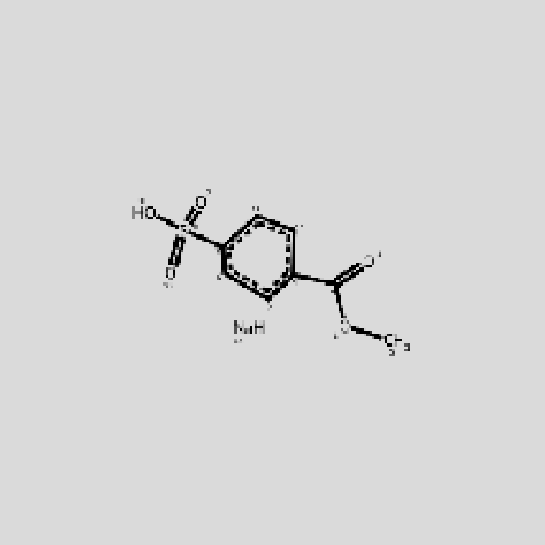 COC(=O)c1ccc(S(=O)(=O)O)cc1.[NaH]